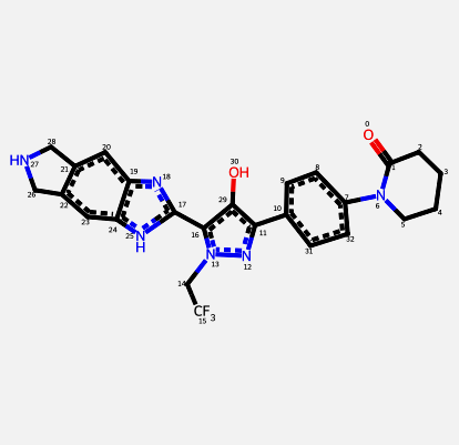 O=C1CCCCN1c1ccc(-c2nn(CC(F)(F)F)c(-c3nc4cc5c(cc4[nH]3)CNC5)c2O)cc1